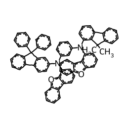 CC1(C)c2ccccc2-c2cccc(N(c3cccc(N(c4ccc5c(c4)C(c4ccccc4)(c4ccccc4)c4ccccc4-5)c4cccc5c4oc4ccccc45)c3)c3cccc4oc5ccccc5c34)c21